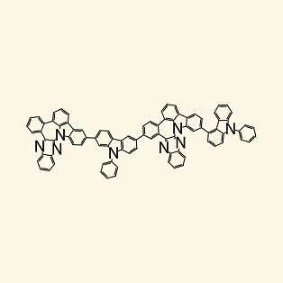 c1ccc(-n2c3ccc(-c4ccc5c(c4)-c4nc6ccccc6nc4-n4c6cc(-c7cccc8c7c7ccccc7n8-c7ccccc7)ccc6c6cccc-5c64)cc3c3ccc(-c4ccc5c(c4)c4cccc6c4n5-c4nc5ccccc5nc4-c4ccccc4-6)cc32)cc1